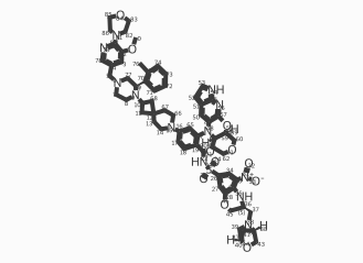 COc1cc(CN2CCN(C3CC4(CCN(c5ccc(C(=O)NS(=O)(=O)c6cc7c(c([N+](=O)[O-])c6)N[C@@H](CN6C[C@@H]8C[C@H]6CO8)CO7)c(N6c7cc8cc[nH]c8nc7O[C@H]7COCC[C@@H]76)c5)CC4)C3)[C@H](c3ccccc3C)C2)cnc1N1CCOCC1